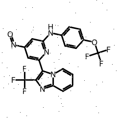 O=Nc1cc(Nc2ccc(OC(F)(F)F)cc2)nc(-c2c(C(F)(F)F)nc3ccccn23)c1